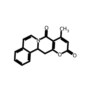 Cc1cc(=O)oc2c1C(=O)N1C=Cc3ccccc3C1C2